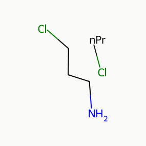 CCCCl.NCCCCl